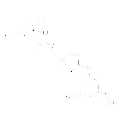 CCOC(=O)C(CCC(C)=O)NC(=O)OCc1ccc(OC2CC(OC)CC(COC(C)=O)O2)cc1